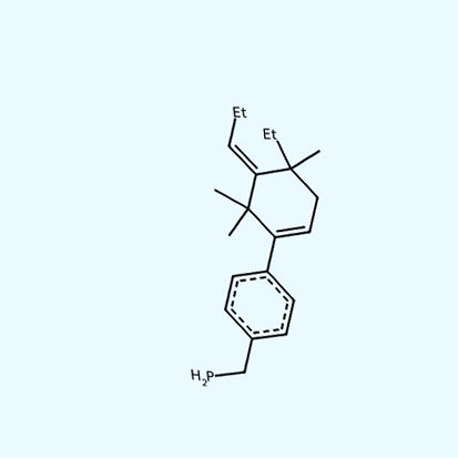 CC/C=C1\C(C)(CC)CC=C(c2ccc(CP)cc2)C1(C)C